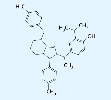 Cc1ccc(CC2CCCC3C2=CC(C(C)c2ccc(O)c(C(C)C)c2)C3c2ccc(C)cc2)cc1